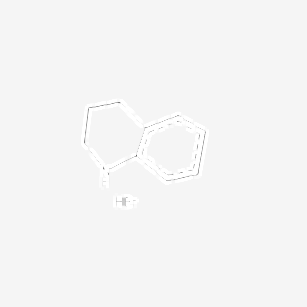 Br.c1ccc2c(c1)CCCN2